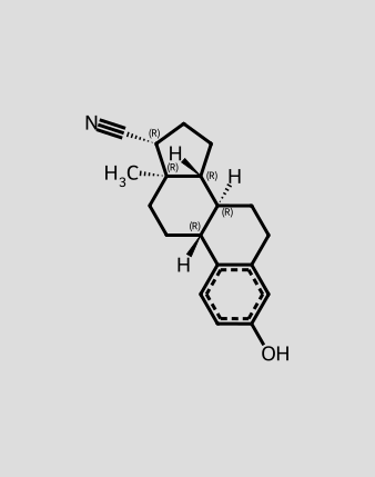 C[C@@]12CC[C@H]3c4ccc(O)cc4CC[C@@H]3[C@H]1CC[C@H]2C#N